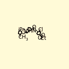 CCS(=O)(=O)c1ccc(CNC(=O)c2ccc3c(c2)cc(Cc2ccccc2C)n3C(C)C)c(Cl)c1